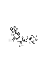 CCc1cc2c(cc1OC[C@H]1COCCO1)OC(C1(C)COC1)CC2=N